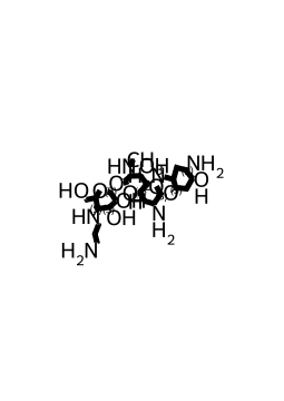 CNC1C(O[C@H]2OC(CO)[C@@H](NCCCN)[C@H](O)C2O)O[C@H]2CC(N)[C@@H](O[C@H]3CC(O)[C@H](N)CC3N)OC2C1O